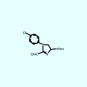 CCCCCCC1CN(c2ccc(Cl)cc2)C(C=O)=N1